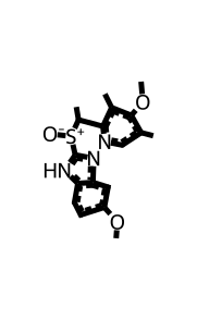 COc1ccc2[nH]c([S+]([O-])C(C)c3ncc(C)c(OC)c3C)nc2c1